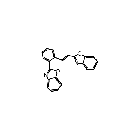 C(=Cc1ccccc1-c1nc2ccccc2o1)c1nc2ccccc2o1